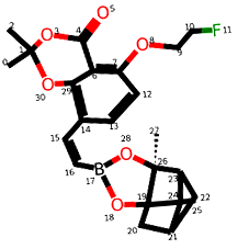 CC1(C)OC(=O)c2c(OCCF)ccc(/C=C\B3OC45CC6CC(C64C)[C@]5(C)O3)c2O1